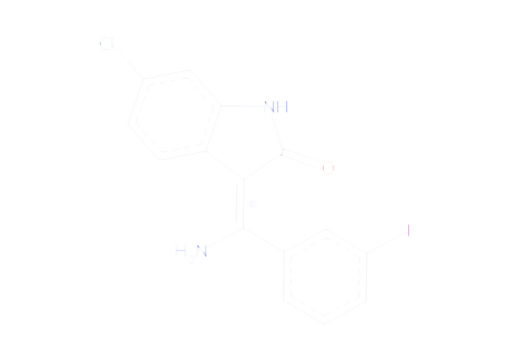 N/C(=C1/C(=O)Nc2cc(Cl)ccc21)c1cccc(I)c1